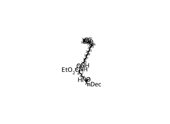 CCCCCCCCCCCC(=O)NCCCCC(NC(=O)NCCCCCCCCCC[Si](C)(C)O[Si](C)(C)O[Si](C)(C)C)C(=O)OCC